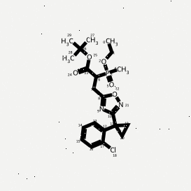 CCOP(C)(=O)C(Cc1nc(C2(c3ccccc3Cl)CC2)no1)C(=O)OC(C)(C)C